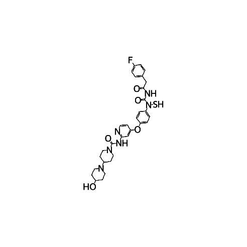 O=C(Cc1ccc(F)cc1)NC(=O)N(S)c1ccc(Oc2ccnc(NC(=O)N3CCC(N4CCC(O)CC4)CC3)c2)cc1